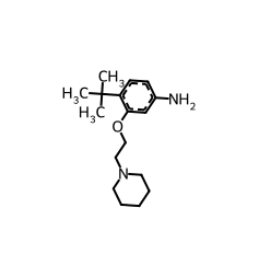 CC(C)(C)c1ccc(N)cc1OCCN1CCCCC1